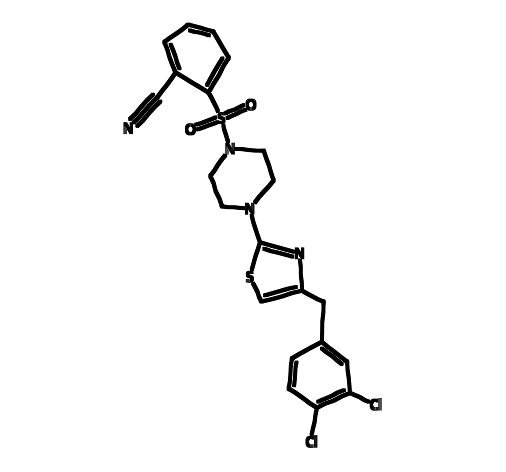 N#Cc1ccccc1S(=O)(=O)N1CCN(c2nc(Cc3ccc(Cl)c(Cl)c3)cs2)CC1